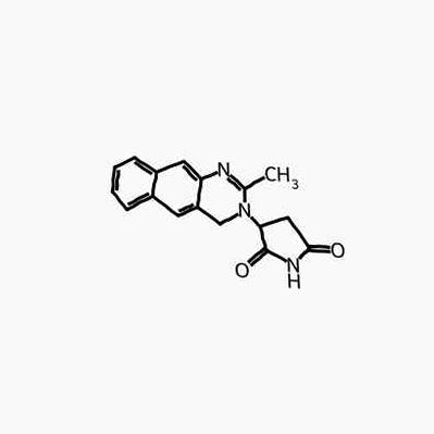 CC1=Nc2cc3ccccc3cc2CN1C1CC(=O)NC1=O